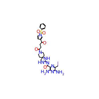 Nc1nc(N)c(C(=O)/N=C2\NCC3(CCN(C(=O)CCC(=O)c4ccn(S(=O)(=O)c5ccccc5)c4)CC3)N2)nc1CI